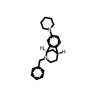 c1ccc(CN2CC[C@@H]3C[C@@H]2c2cc(N4CCCCC4)ccc23)cc1